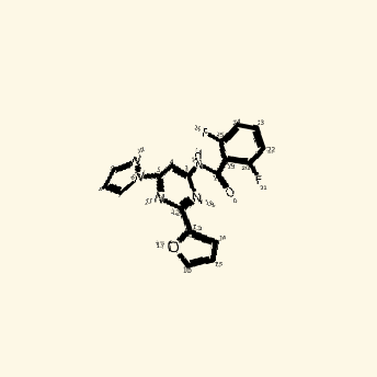 O=C(Nc1cc(-n2cccn2)nc(-c2ccco2)n1)c1c(F)cccc1F